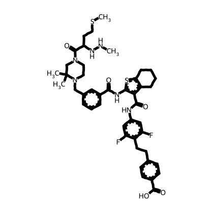 CNNC(CCSC)C(=O)N1CCN(Cc2cccc(C(=O)Nc3sc4c(c3C(=O)Nc3cc(F)c(CCc5ccc(C(=O)O)cc5)c(F)c3)CCCC4)c2)C(C)(C)C1